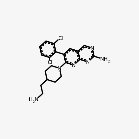 NCCC1CCN(c2nc3nc(N)ncc3cc2-c2c(Cl)cccc2Cl)CC1